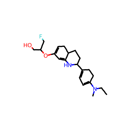 CCN(C)C1=CC=C(C2CCC3CC=C(OC(CO)CF)C=C3N2)CC1